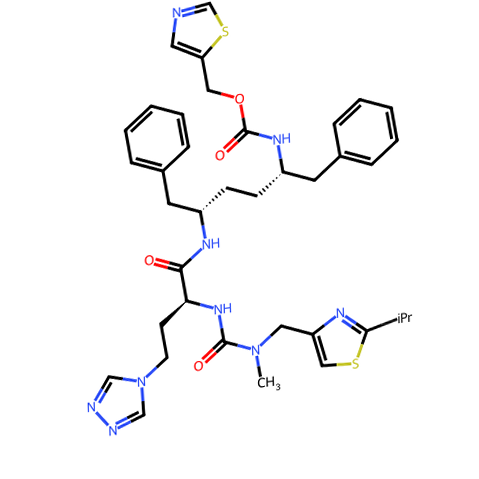 CC(C)c1nc(CN(C)C(=O)N[C@@H](CCn2cnnc2)C(=O)N[C@@H](CC[C@@H](Cc2ccccc2)NC(=O)OCc2cncs2)Cc2ccccc2)cs1